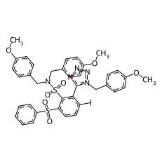 COc1ccc(CN(Cc2ccc(OC)cc2)S(=O)(=O)c2c(S(=O)(=O)c3ccccc3)ccc(I)c2-c2nnnn2Cc2ccc(OC)cc2)cc1